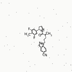 C=C(CCCn1ncc2cc(C#N)ccc21)C(=O)N1N=CCC1c1cc(F)c(C)c(F)c1